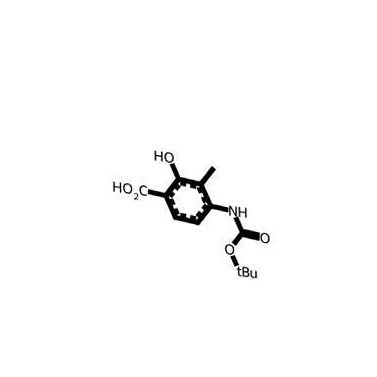 Cc1c(NC(=O)OC(C)(C)C)ccc(C(=O)O)c1O